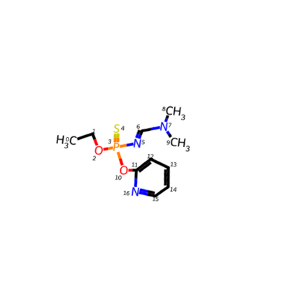 CCOP(=S)(N=CN(C)C)Oc1ccccn1